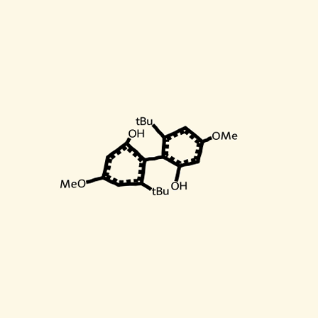 COc1cc(O)c(-c2c(O)cc(OC)cc2C(C)(C)C)c(C(C)(C)C)c1